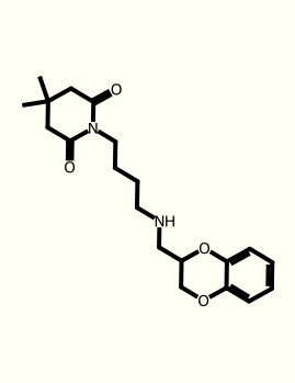 CC1(C)CC(=O)N(CCCCNCC2COc3ccccc3O2)C(=O)C1